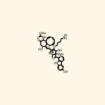 COC(=O)NC1C(=O)C[C@H](O)/C(=C/CS(C)(=S)=S)C2=C1C#C/C=C\C#C[C@@H]2OC1OC(C)C(SC)(C(=O)c2nccc3c2[nH]c2ccc(O)cc23)C(O)C1OCCCCNC(C)C